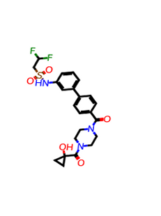 O=C(c1ccc(-c2cccc(NS(=O)(=O)CC(F)F)c2)cc1)N1CCN(C(=O)C2(O)CC2)CC1